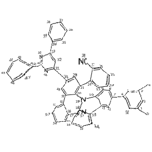 Cc1cc(C)cc(-c2ccc3c(c2)c2ccccc2n3-c2c(-c3ccccc3C#N)cc(-c3cc(-c4ccccc4)nc(-c4ccccc4)n3)cc2-c2ccccc2C#N)c1